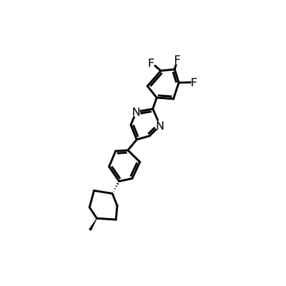 C[C@H]1CC[C@H](c2ccc(-c3cnc(-c4cc(F)c(F)c(F)c4)nc3)cc2)CC1